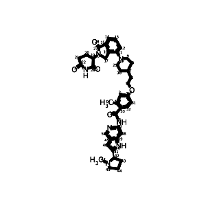 Cc1cc(OCCC2CCN(c3cccc4c3CN(C3CCC(=O)NC3=O)C4=O)CC2)ccc1C(=O)Nc1cc2[nH]c([C@H]3CCCN3C)cc2cn1